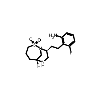 Nc1cccc(F)c1CC[C@H]1CN[C@@H]2CCCS(=O)(=O)N1C2